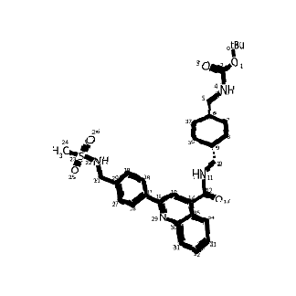 CC(C)(C)OC(=O)NC[C@H]1CC[C@H](CNC(=O)c2cc(-c3ccc(CNS(C)(=O)=O)cc3)nc3ccccc23)CC1